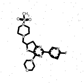 CS(=O)(=O)N1CCN(CC2Cc3nc(-c4ccc(F)nc4)nc(N4CCOCC4)c3S2)CC1